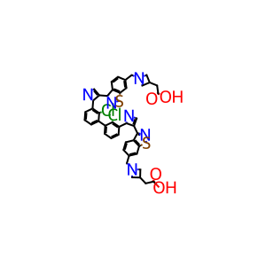 O=C(O)CC1CN(Cc2ccc3c(C4=CN=C4c4cccc(-c5cccc(C6=NC=C6c6nsc7cc(CN8CC(CC(=O)O)C8)ccc67)c5Cl)c4Cl)nsc3c2)C1